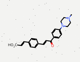 CN1CCN(c2ccc(C(=O)/C=C/c3ccc(/C=C/C(=O)O)cc3)cc2)CC1